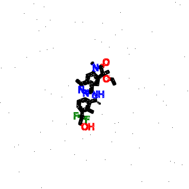 CCOC1(C)C(=O)N(C)c2cc3c(C)nnc(N[C@H](C)c4cccc(C(F)(F)CO)c4C)c3cc21